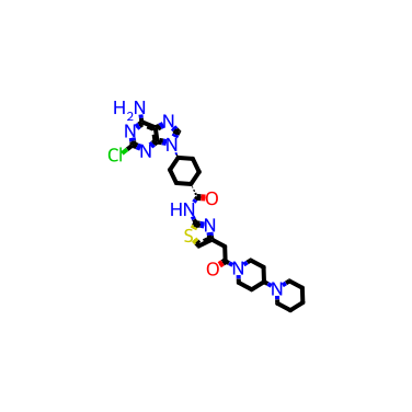 Nc1nc(Cl)nc2c1ncn2[C@H]1CC[C@@H](C(=O)Nc2nc(CC(=O)N3CCC(N4CCCCC4)CC3)cs2)CC1